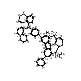 CC1(C)C2=C3C(CC=C2)C(C)(C)c2cc(-c4ccccc4)cc4c5cc(-c6ccc(N(c7cccc8c7C=CCC8)c7cccc8ccccc78)cc6)cc1c5n3c24